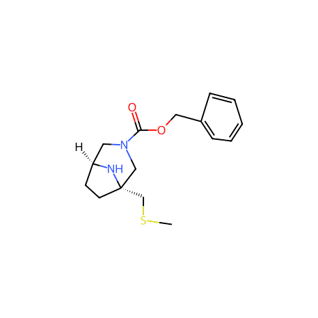 CSC[C@@]12CC[C@@H](CN(C(=O)OCc3ccccc3)C1)N2